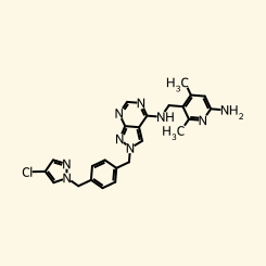 Cc1cc(N)nc(C)c1CNc1ncnc2nn(Cc3ccc(Cn4cc(Cl)cn4)cc3)cc12